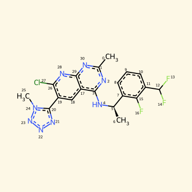 Cc1nc(N[C@H](C)c2cccc(C(F)F)c2F)c2cc(-c3nnnn3C)c(Cl)nc2n1